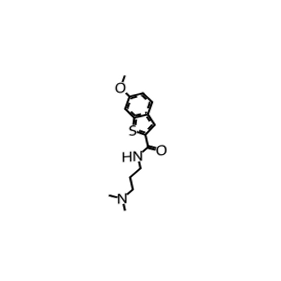 COc1ccc2cc(C(=O)NCCCN(C)C)sc2c1